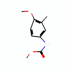 CCCc1cc(NC(=O)OC(C)C)ccc1OCC